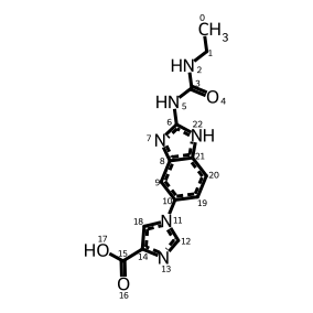 CCNC(=O)Nc1nc2cc(-n3cnc(C(=O)O)c3)ccc2[nH]1